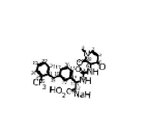 CN1C=CC(=O)C(NC(=O)N[C@@H](CC(=O)O)c2cccc(Cc3ccccc3C(F)(F)F)c2)C1=O.[NaH]